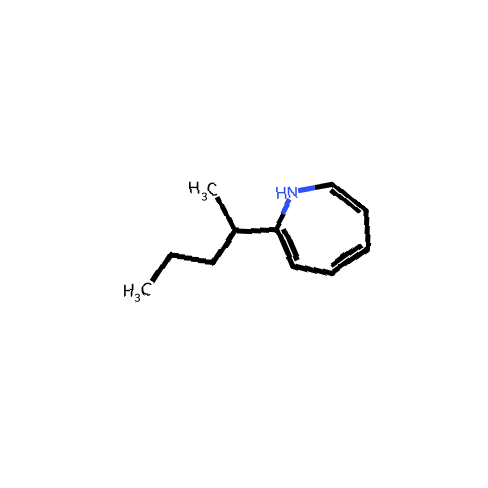 CCCC(C)C1=CC=CC=CN1